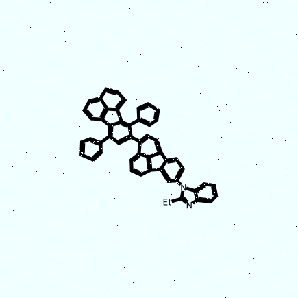 CCc1nc2ccccc2n1-c1ccc2c(c1)-c1cccc3c(-c4cc(-c5ccccc5)c5c(c4-c4ccccc4)-c4cccc6cccc-5c46)ccc-2c13